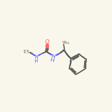 CCNC(=O)NC(c1ccccc1)C(C)(C)C